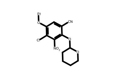 CCOc1cc(C#N)c(OC2CCCCO2)c([N+](=O)[O-])c1Cl